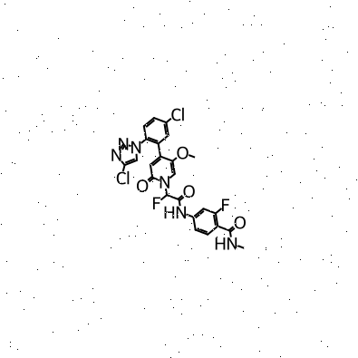 CNC(=O)c1ccc(NC(=O)C(F)n2cc(OC)c(-c3cc(Cl)ccc3-n3cc(Cl)nn3)cc2=O)cc1F